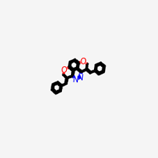 C(=C1COc2ccc3c4c(nnc1c24)C(=Cc1ccccc1)CO3)c1ccccc1